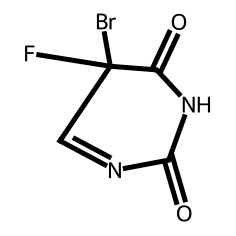 O=C1N=CC(F)(Br)C(=O)N1